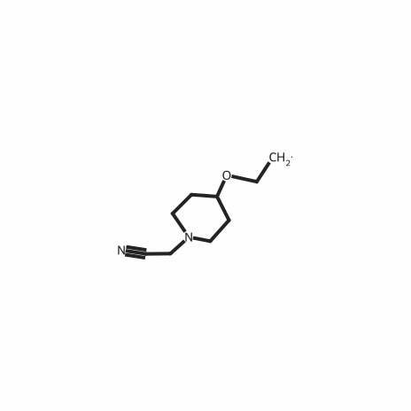 [CH2]COC1CCN(CC#N)CC1